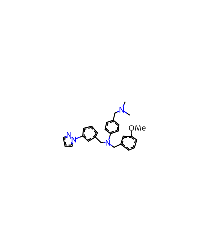 COc1cccc(CN(Cc2cccc(-n3cccn3)c2)c2ccc(CN(C)C)cc2)c1